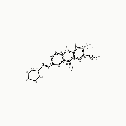 Nc1nc2oc3ccc(C=CC4CCCCC4)cc3c(=O)c2cc1C(=O)O